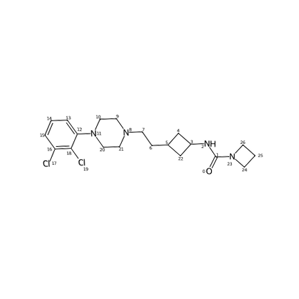 O=C(NC1CC(CCN2CCN(c3cccc(Cl)c3Cl)CC2)C1)N1CCC1